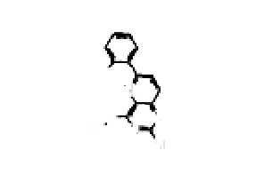 CCCOc1nc(N)nc2ccc(-c3ccccc3F)nc12